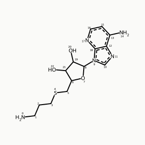 NCCCSCC1OC(n2cnc3c(N)ccnc32)C(O)C1O